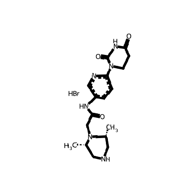 Br.C[C@@H]1CNC[C@H](C)N1CC(=O)Nc1ccc(N2CCC(=O)NC2=O)nc1